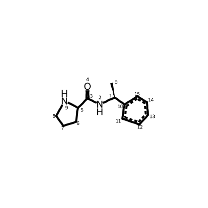 C[C@H](NC(=O)C1CCCN1)c1ccccc1